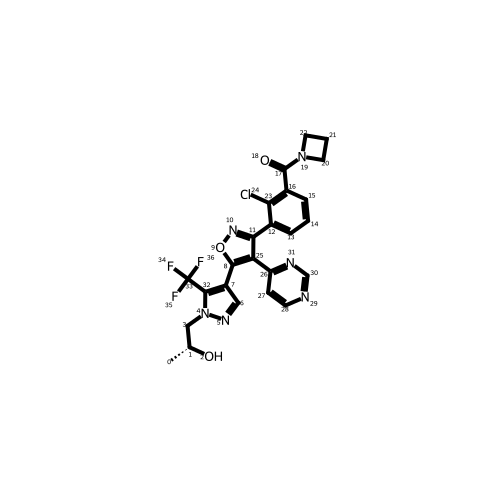 C[C@@H](O)Cn1ncc(-c2onc(-c3cccc(C(=O)N4CCC4)c3Cl)c2-c2ccncn2)c1C(F)(F)F